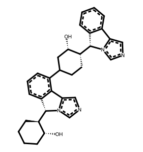 O[C@@H]1CCCC[C@H]1[C@@H]1c2cccc(C3CC[C@@H]([C@@H]4c5ccccc5-c5cncn54)[C@@H](O)C3)c2-c2cncn21